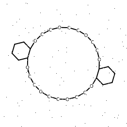 C1CCC2OCCOCCOCCOC3CCCCC3OCCOCCOCCOC2C1